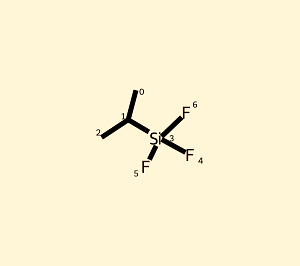 CC(C)[Si](F)(F)F